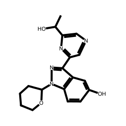 CC(O)c1cncc(-c2nn(C3CCCCO3)c3ccc(O)cc23)n1